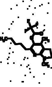 CCCCCc1nc2c(c(C)c1OC(=O)C(F)(F)F)CCN2C